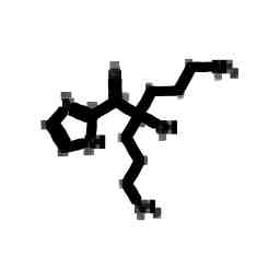 NCCCC(O)(CCCN)C(=O)c1ncc[nH]1